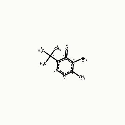 Cc1nnc(C(C)(C)C)c(=O)n1N